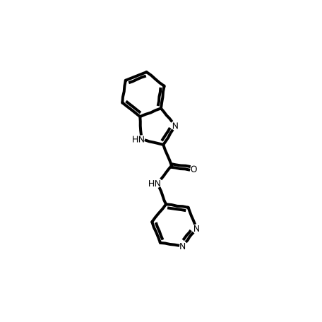 O=C(Nc1ccnnc1)c1nc2ccccc2[nH]1